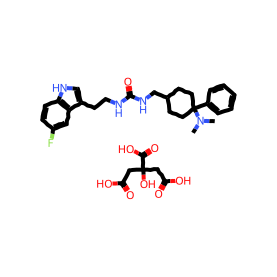 CN(C)C1(c2ccccc2)CCC(CNC(=O)NCCc2c[nH]c3ccc(F)cc23)CC1.O=C(O)CC(O)(CC(=O)O)C(=O)O